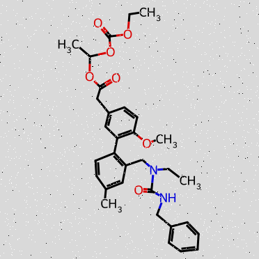 CCOC(=O)OC(C)OC(=O)Cc1ccc(OC)c(-c2ccc(C)cc2CN(CC)C(=O)NCc2ccccc2)c1